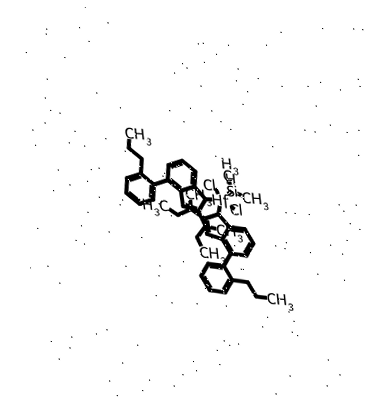 CCCc1ccccc1-c1cccc2c1C=C(C(C)CC)[CH]2[Hf]([Cl])([Cl])([CH]1C(C(C)CC)=Cc2c(-c3ccccc3CCC)cccc21)[SiH](C)C